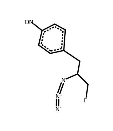 [N-]=[N+]=NC(CF)Cc1ccc(N=O)cc1